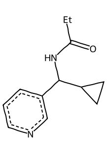 CCC(=O)NC(c1cccnc1)C1CC1